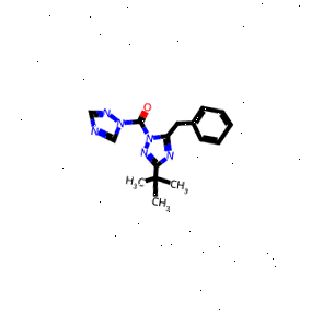 CC(C)(C)c1nc(Cc2ccccc2)n(C(=O)n2cncn2)n1